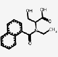 CCN(C(=O)c1cccc2ccccc12)C(CO)C(=O)O